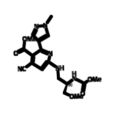 COC[C@@H](CNc1cc(C#N)c(C(=O)OC)c(-c2cnn(C)c2)n1)NC(=O)OC